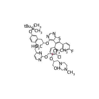 Cc1c(-c2c(-c3ccc(F)cc3)sc3ncnc(OC(Cc4cc(O[Si](C)(C)C(C)(C)C)ccc4OCc4ccnc(OCCC(F)(F)F)n4)C(=O)O)c23)ccc(OC(CO)CN2CCN(C)CC2)c1Cl